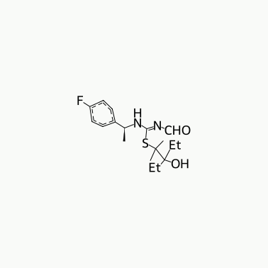 CCC(O)(CC)C(C)(C)S/C(=N\C=O)N[C@@H](C)c1ccc(F)cc1